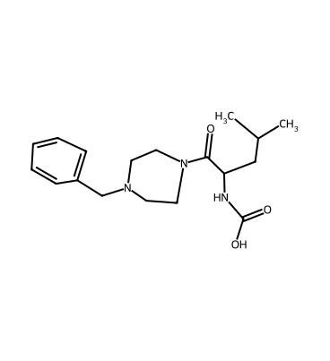 CC(C)CC(NC(=O)O)C(=O)N1CCN(Cc2ccccc2)CC1